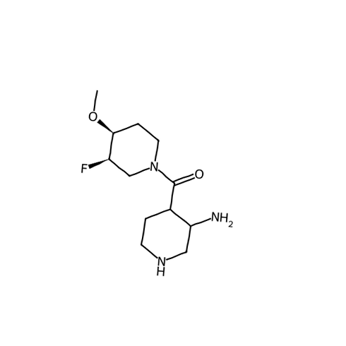 CO[C@H]1CCN(C(=O)C2CCNCC2N)C[C@H]1F